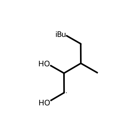 CCC(C)CC(C)C(O)[CH]O